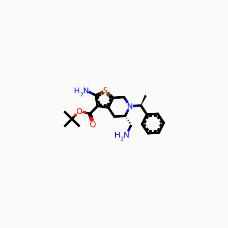 C[C@@H](c1ccccc1)N1Cc2sc(N)c(C(=O)OC(C)(C)C)c2C[C@H]1CN